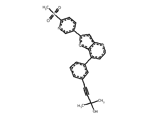 CC(C)(O)C#Cc1cccc(-c2ccnc3cc(-c4ccc(S(C)(=O)=O)nc4)oc23)c1